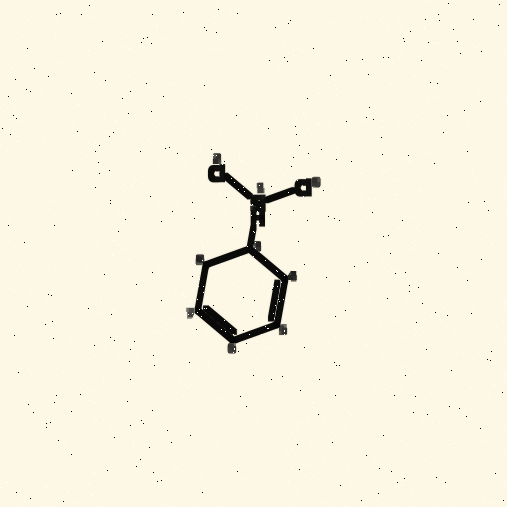 Cl[SiH](Cl)C1C=CC=CC1